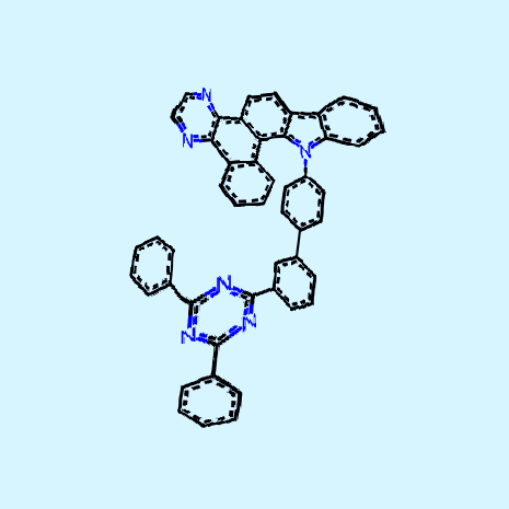 c1ccc(-c2nc(-c3ccccc3)nc(-c3cccc(-c4ccc(-n5c6ccccc6c6ccc7c8nccnc8c8ccccc8c7c65)cc4)c3)n2)cc1